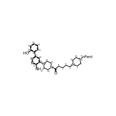 CCCCCN1CCN(CCCCC(=O)N2CCN(c3cc(-c4ccccc4O)nnc3N)CC2)CC1